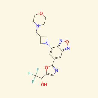 OC(c1cnc(-c2cc(N3CC(CN4CCOCC4)C3)c3nonc3c2)o1)C(F)(F)F